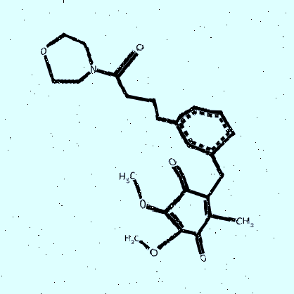 COC1=C(OC)C(=O)C(Cc2cccc(CCCC(=O)N3CCOCC3)c2)=C(C)C1=O